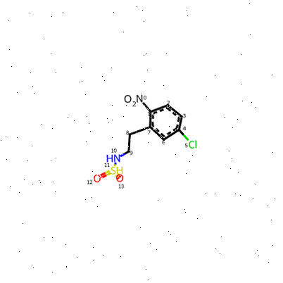 O=[N+]([O-])c1ccc(Cl)cc1CCN[SH](=O)=O